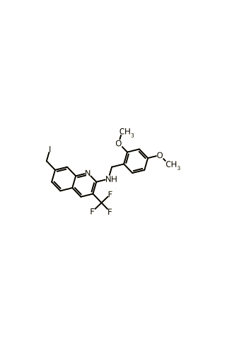 COc1ccc(CNc2nc3cc(CI)ccc3cc2C(F)(F)F)c(OC)c1